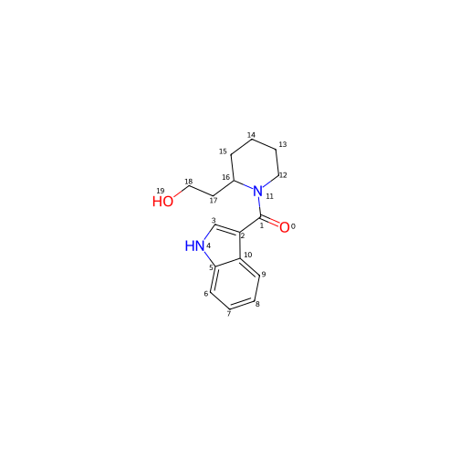 O=C(c1c[nH]c2ccccc12)N1CCCCC1CCO